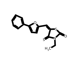 CCN1C(=O)SC(=Cc2ccc(-c3ccccc3)o2)C1=S